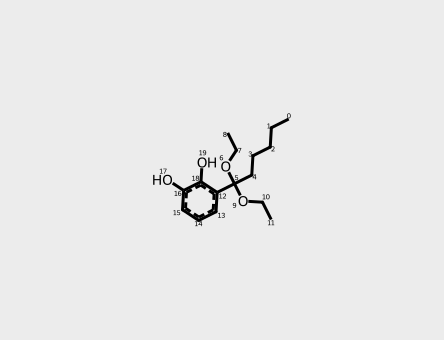 CCCCCC(OCC)(OCC)c1cccc(O)c1O